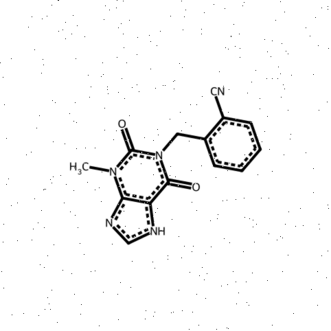 Cn1c(=O)n(Cc2ccccc2C#N)c(=O)c2[nH]cnc21